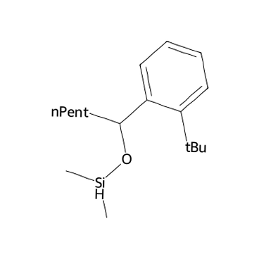 CCCCCC(O[SiH](C)C)c1ccccc1C(C)(C)C